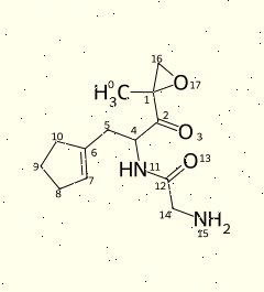 CC1(C(=O)C(CC2=CCCC2)NC(=O)CN)CO1